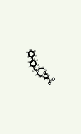 O=[N+]([O-])c1cn2c(n1)OCCN(Cc1ccc(-c3ccccc3)cc1)CC2